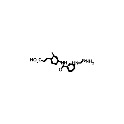 Cc1cc(NC(=O)c2cccc(NC=NN)c2)ccc1C=CC(=O)O